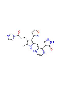 Cc1[nH]c(C=C2NC=CN=C2C2C=NNC2=O)c(-c2ccon2)c1CCC(=O)n1ccnc1